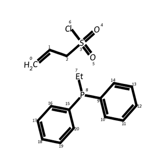 C=CCS(=O)(=O)Cl.CCP(c1ccccc1)c1ccccc1